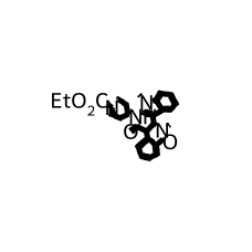 CCOC(=O)N1CCC(NC(=O)C2c3ccccc3C(=O)N(C)C2c2cn(C)c3ccccc23)CC1